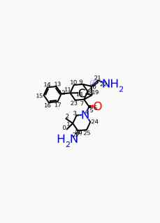 CC1(C)CN(C(=O)C23CC4CC(c5ccccc5)(CC2/C4=C\N)C3)CC[C@@H]1N